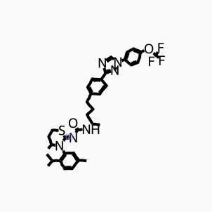 Cc1ccc(C(C)C)c(N2/C(=N/C(=O)NC(C)CCCc3ccc(-c4ncn(-c5ccc(OC(F)(F)F)cc5)n4)cc3)SCCC2C)c1